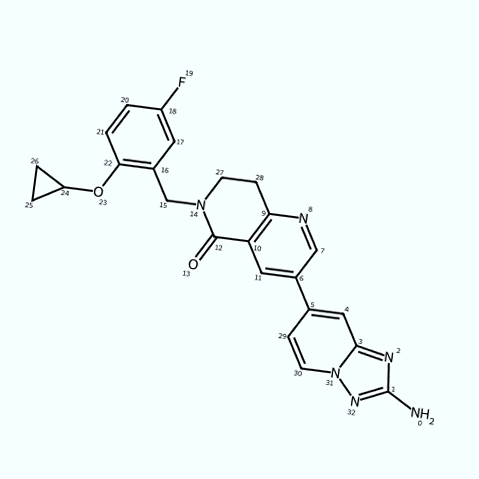 Nc1nc2cc(-c3cnc4c(c3)C(=O)N(Cc3cc(F)ccc3OC3CC3)CC4)ccn2n1